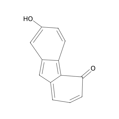 O=C1C=CC=C2C=c3cc(O)ccc3=C12